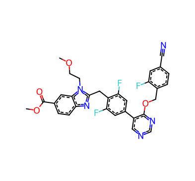 COCCn1c(Cc2c(F)cc(-c3cncnc3OCc3ccc(C#N)cc3F)cc2F)nc2ccc(C(=O)OC)cc21